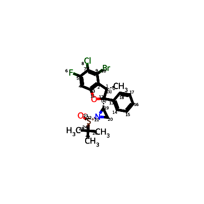 C[C@H]1c2c(cc(F)c(Cl)c2Br)O[C@@]1(c1ccccc1)C1CN1[S+]([O-])C(C)(C)C